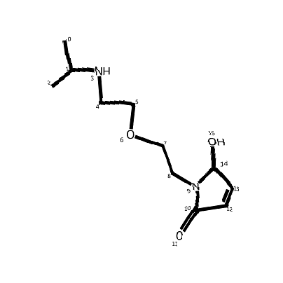 CC(C)NCCOCCN1C(=O)C=CC1O